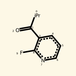 CC(C)C(=O)c1cccnc1F